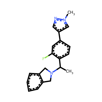 CC(c1ccc(-c2cnn(C)c2)cc1F)N1Cc2ccccc2C1